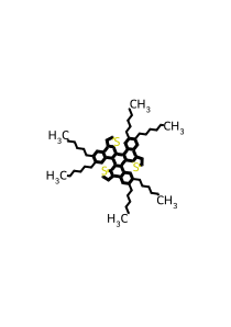 CCCCCCc1cc2c3ccsc3c3c(c2cc1CCCCCC)c1c2sccc2c2cc(CCCCCC)c(CCCCCC)cc2c1c1c2sccc2c2cc(CCCCCC)c(CCCCCC)cc2c31